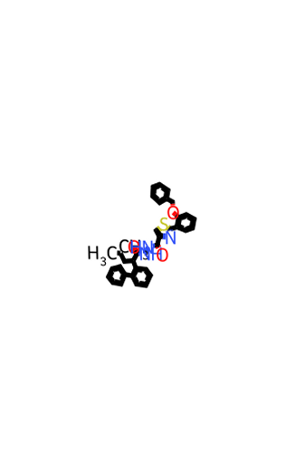 CC(C)CC(C(=O)NNC(=O)c1csc(-c2ccccc2OCc2ccccc2)n1)c1ccccc1-c1ccccc1